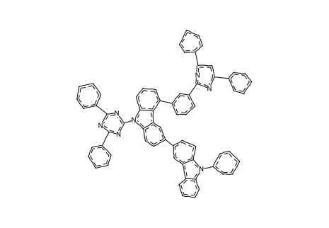 c1ccc(-c2cc(-c3ccccc3)nc(-c3cccc(-c4cccc5c4c4cc(-c6ccc7c(c6)c6ccccc6n7-c6ccccc6)ccc4n5-c4nc(-c5ccccc5)nc(-c5ccccc5)n4)c3)n2)cc1